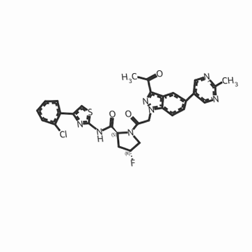 CC(=O)c1nn(CC(=O)N2C[C@H](F)C[C@H]2C(=O)Nc2nc(-c3ccccc3Cl)cs2)c2ccc(-c3cnc(C)nc3)cc12